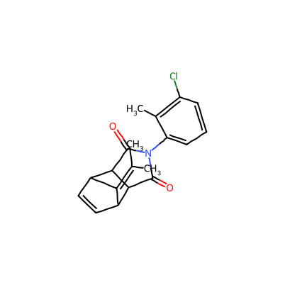 CC(C)=C1C2C=CC1C1C(=O)N(c3cccc(Cl)c3C)C(=O)C21